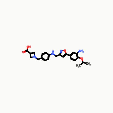 CC(C)Oc1ccc(-c2cc(CNc3ccc(CN4CC(C(=O)O)C4)cc3)no2)cc1N